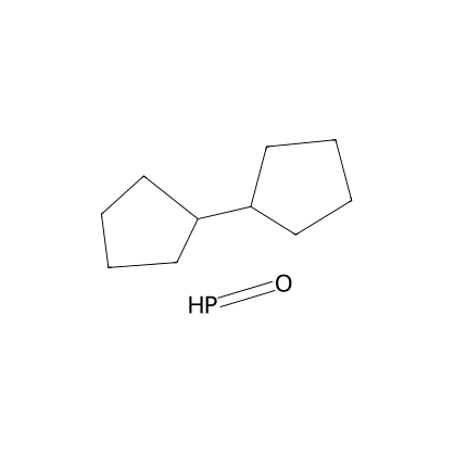 C1CCC(C2CCCC2)C1.O=P